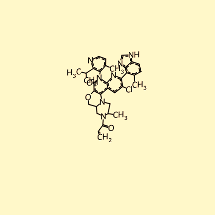 C=CC(=O)N1CC2COc3c(c4cc(Cl)c(-c5c(C)ccc6[nH]cnc56)nc4n(-c4c(C)ccnc4C(C)C)c3=O)N2CC1C